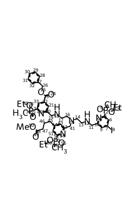 CCOP(C)(=O)c1cc(I)cc(CNCCN(CCNCc2cc(C(=O)OCc3ccccc3)cc(P(C)(=O)OCC)n2)Cc2cc(CCCC(=O)OC)cc(P(C)(=O)OCC)n2)n1